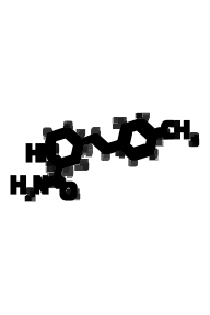 Cc1ccc(CC[C@@H]2CCN[C@H](C(N)=O)C2)cc1